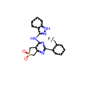 O=S1(=O)Cc2nc(-c3ccccc3C(F)(F)F)nc(Nc3n[nH]c4ccccc34)c2C1